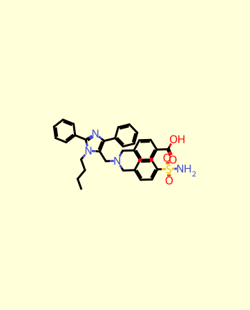 CCCCn1c(-c2ccccc2)nc(-c2ccccc2)c1CN(Cc1ccc(C(=O)O)cc1)Cc1ccc(S(N)(=O)=O)cc1